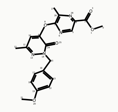 COC(=O)c1cnc(Oc2cc(C)nn(Cc3ccc(OC)cc3)c2=O)c(C)n1